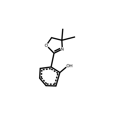 CC1(C)COC(c2ccccc2O)=N1